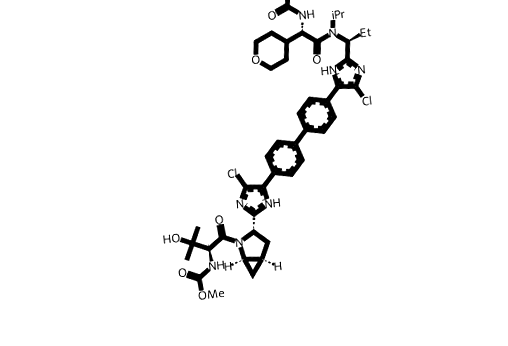 CC[C@@H](c1nc(Cl)c(-c2ccc(-c3ccc(-c4[nH]c([C@@H]5C[C@H]6C[C@H]6N5C(=O)[C@@H](NC(=O)OC)C(C)(C)O)nc4Cl)cc3)cc2)[nH]1)N(C(=O)[C@@H](NC(=O)OC)C1CCOCC1)C(C)C